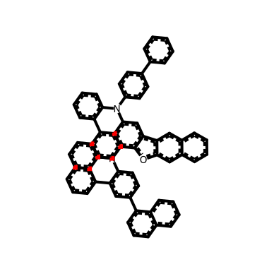 c1ccc(-c2ccc(N(c3cc(N(c4ccccc4)c4ccc(-c5cccc6ccccc56)cc4-c4ccccc4)c4oc5cc6ccccc6cc5c4c3)c3ccccc3-c3ccccc3)cc2)cc1